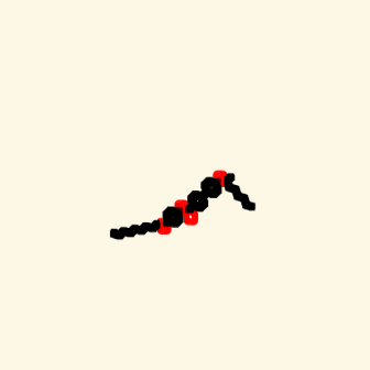 C=CCCCCCCCOc1ccc(OC(=O)c2ccc(-c3ccc(OC(C)CCCCCC)cc3)cc2)cc1